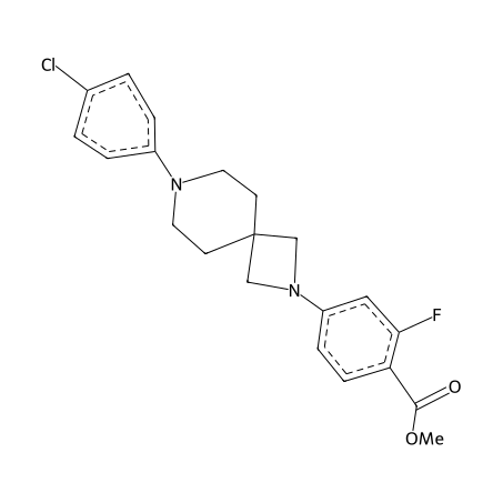 COC(=O)c1ccc(N2CC3(CCN(c4ccc(Cl)cc4)CC3)C2)cc1F